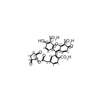 O=C(Cc1ccc(C(=O)O)c(-c2c3ccc(=O)c(S(=O)(=O)O)c-3oc3c(S(=O)(=O)O)c(O)ccc23)c1)ON1C(=O)CCC1=O